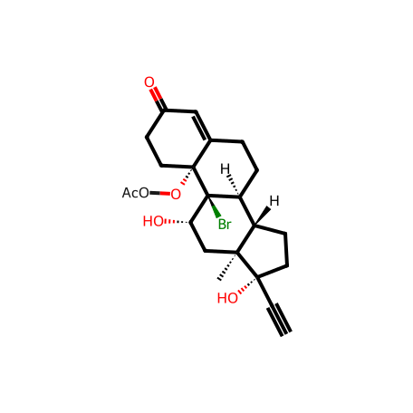 C#C[C@]1(O)CC[C@H]2[C@@H]3CCC4=CC(=O)CC[C@]4(OOC(C)=O)[C@@]3(Br)[C@@H](O)C[C@@]21C